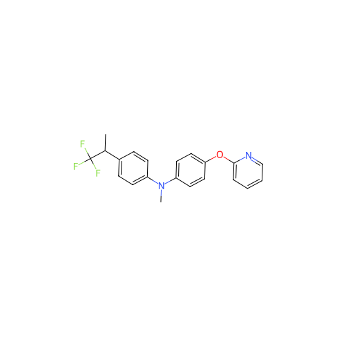 CC(c1ccc(N(C)c2ccc(Oc3ccccn3)cc2)cc1)C(F)(F)F